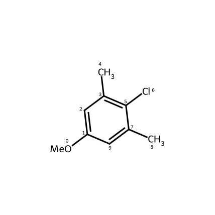 [CH2]Oc1cc(C)c(Cl)c(C)c1